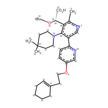 Cc1ncc(-c2ccc(OCCC3=CCCCC3)cn2)c(N2CCC(C)(C)CC2)c1[C@H](OC(C)(C)C)C(=O)O